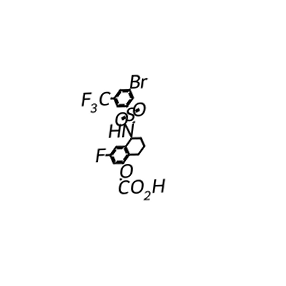 O=C(O)COc1cc(F)cc2c1CCCC2NCS(=O)(=O)c1cc(Br)cc(C(F)(F)F)c1